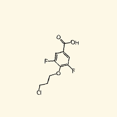 O=C(O)c1cc(F)c(OCCCCl)c(F)c1